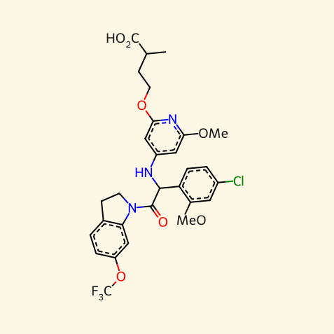 COc1cc(NC(C(=O)N2CCc3ccc(OC(F)(F)F)cc32)c2ccc(Cl)cc2OC)cc(OCCC(C)C(=O)O)n1